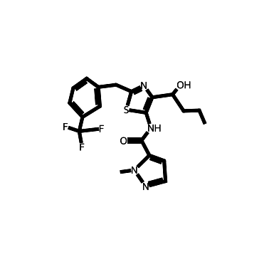 CCCC(O)c1nc(Cc2cccc(C(F)(F)F)c2)sc1NC(=O)c1ccnn1C